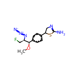 CO[C@H](c1ccc(C2CN=C(N)S2)cc1)[C@@H](CF)N=[N+]=[N-]